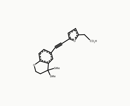 CSC1(SC)CCOc2ccc(C#Cc3ccc(CC(=O)O)o3)cc21